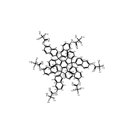 O=C(Oc1ccc2cc(C3(c4ccc5cc(OC(=O)C(F)(F)F)ccc5c4)c4ccccc4-c4c3c3c(c5c4C(c4ccc6cc(OC(=O)C(F)(F)F)ccc6c4)(c4ccc6cc(OC(=O)C(F)(F)F)ccc6c4)c4ccccc4-5)C(c4ccc5cc(OC(=O)C(F)(F)F)ccc5c4)(c4ccc5cc(OC(=O)C(F)(F)F)ccc5c4)c4ccccc4-3)ccc2c1)C(F)(F)F